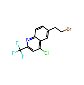 FC(F)(F)c1cc(Cl)c2cc(CCBr)ccc2n1